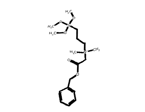 CO[Si](CCC[N+](C)(C)CC(=O)OCc1ccccc1)(OC)OC